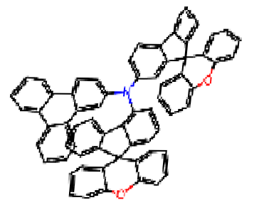 c1ccc2c(c1)Oc1ccccc1C21c2ccccc2-c2ccc(N(c3ccc4c5ccccc5c5ccccc5c4c3)c3cccc4c3-c3ccccc3C43c4ccccc4Oc4ccccc43)cc21